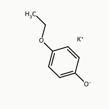 CCOc1ccc([O-])cc1.[K+]